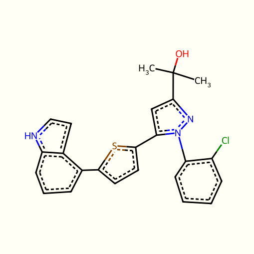 CC(C)(O)c1cc(-c2ccc(-c3cccc4[nH]ccc34)s2)n(-c2ccccc2Cl)n1